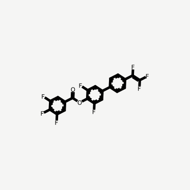 O=C(Oc1c(F)cc(-c2ccc(C(F)=C(F)F)cc2)cc1F)c1cc(F)c(F)c(F)c1